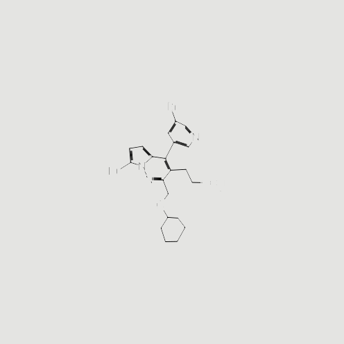 CCOC(=O)CCc1c(COC2CCCCC2)nn2c(CC)ccc2c1-c1cncc(Br)c1